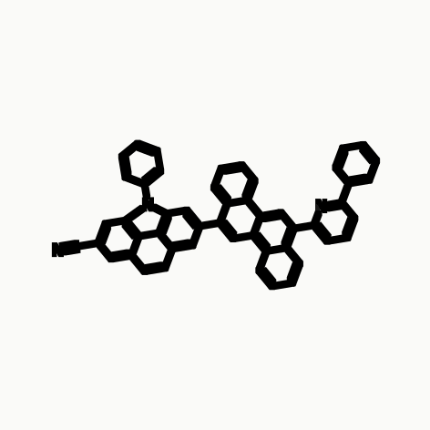 N#Cc1cc2ccc3cc(-c4cc5c6ccccc6c(-c6cccc(-c7ccccc7)n6)cc5c5ccccc45)cc4c3c2c(c1)n4-c1ccccc1